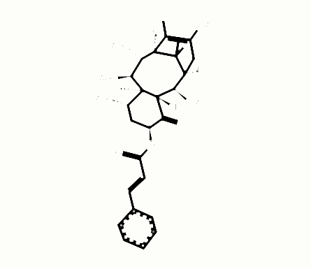 C=C1[C@@H](OC(=O)/C=C/c2ccccc2)C[C@H](OC(C)=O)[C@@]2(C)[C@@H](OC(C)=O)[C@H](OC(C)=O)[C@@]3(O)C(C)=C(OC(C)=O)C[C@@H]([C@@H](OC(C)=O)[C@H]12)C3(C)C